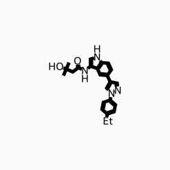 CCc1ccc(-n2cc(-c3ccc4[nH]cc(NC(=O)CC(C)(C)O)c4c3)cn2)cc1